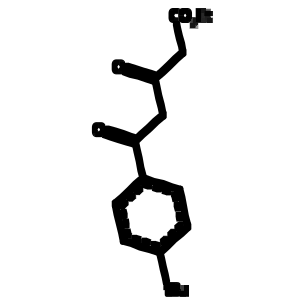 CCOC(=O)CC(=O)CC(=O)c1ccc(C(C)(C)C)cc1